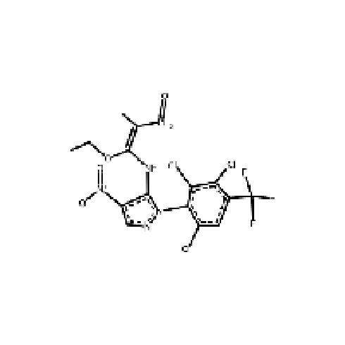 CCOC(Nc1c([N+](=O)[O-])cnn1-c1c(Cl)cc(C(F)(F)F)c(Cl)c1Cl)=C(C)[PH2]=O